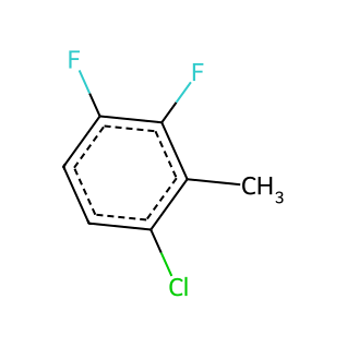 Cc1c(Cl)ccc(F)c1F